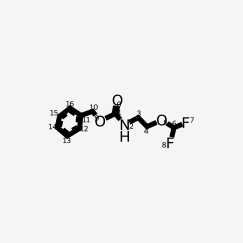 O=C(NCCOC(F)F)OCc1ccccc1